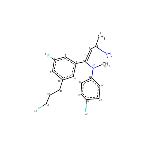 CC(N)/C=C(/c1cc(F)cc(CCCF)c1)N(C)c1ccc(F)cc1